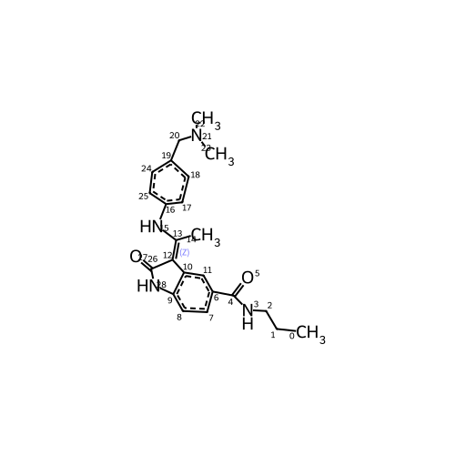 CCCNC(=O)c1ccc2c(c1)/C(=C(\C)Nc1ccc(CN(C)C)cc1)C(=O)N2